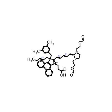 CC/C=C/CC1(Cc2cc(C)cc(C)c2)C(/C=C/C=C/C=C2N(CCOC=O)CCN2CCOC=O)=[N+](CCC(=O)O)c2c1c1ccccc1c1ccccc21